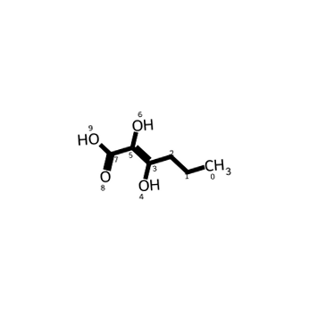 CCCC(O)=C(O)C(=O)O